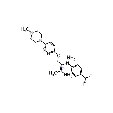 C/C(N)=C(\COc1ccc(N2CCN(C)CC2)nn1)N(N)c1ccc(C(F)F)cc1